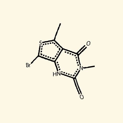 Cc1sc(Br)c2[nH]c(=O)n(C)c(=O)c12